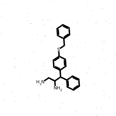 NCC(N)C(c1ccccc1)c1ccc(SCc2ccccc2)cc1